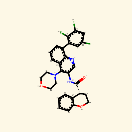 O=C(Nc1cnc2c(-c3cc(F)cc(F)c3F)cccc2c1N1CCOCC1)[C@@H]1CCOc2ccccc21